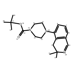 CC1(C)Cc2c(cccc2N2CCN(C(=O)OC(C)(C)C)CC2)C=N1